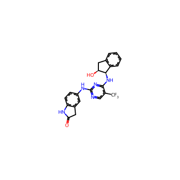 O=C1Cc2cc(Nc3ncc(C(F)(F)F)c(N[C@@H]4c5ccccc5C[C@@H]4O)n3)ccc2N1